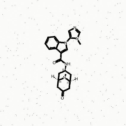 CN1[C@@H]2CC(=O)C[C@H]1C[C@@H](NC(=O)c1cn(-c3cncn3C)c3ccccc13)C2